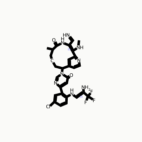 CN/C1=C(\C=N)NC(=O)C(C)CCCC(n2cnc(-c3cc(Cl)ccc3N/C=C(\N)C(F)(F)F)cc2=O)c2ccnc1c2